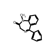 CN1C(=O)[CH]N=C(c2ccccc2)c2ccccc21